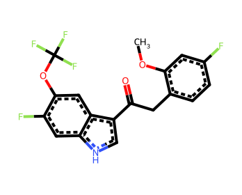 COc1cc(F)ccc1CC(=O)c1c[nH]c2cc(F)c(OC(F)(F)F)cc12